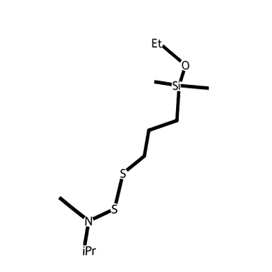 CCO[Si](C)(C)CCCSSN(C)C(C)C